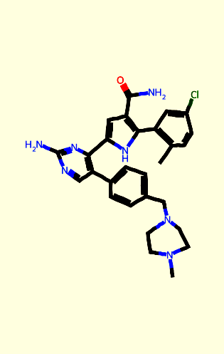 Cc1ccc(Cl)cc1-c1[nH]c(-c2nc(N)ncc2-c2ccc(CN3CCN(C)CC3)cc2)cc1C(N)=O